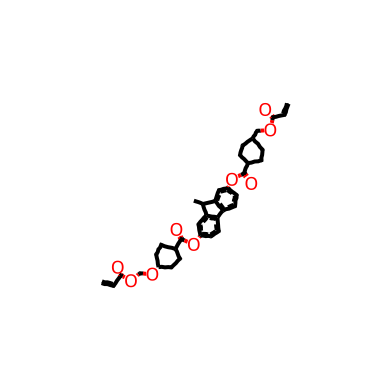 C=CC(=O)OCOC1CCC(C(=O)Oc2ccc3c(c2)C(C)c2cc(OC(=O)C4CCC(COC(=O)C=C)CC4)ccc2-3)CC1